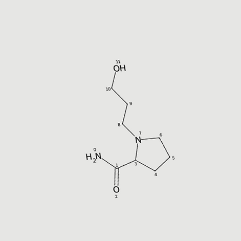 NC(=O)C1CCCN1CCCO